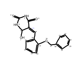 O=C1NC(=S)NC(O)/C1=C\c1ccccc1OCc1ccccc1